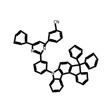 N#Cc1cccc(-c2cc(-c3ccccc3)nc(-c3cccc(-n4c5ccccc5c5c6c(ccc54)C(c4ccccc4)(c4ccccc4)c4ccccc4-6)c3)n2)c1